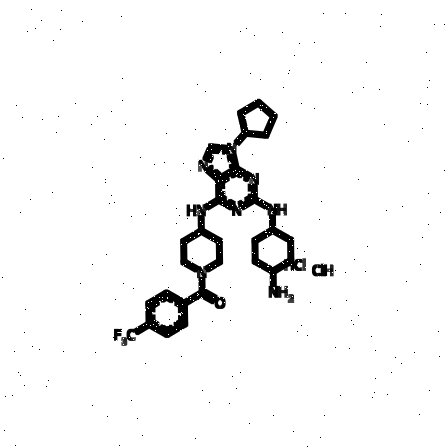 Cl.Cl.NC1CCC(Nc2nc(NC3CCN(C(=O)c4ccc(C(F)(F)F)cc4)CC3)c3ncn(C4CCCC4)c3n2)CC1